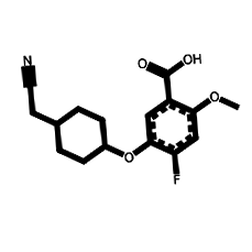 COc1cc(F)c(OC2CCC(CC#N)CC2)cc1C(=O)O